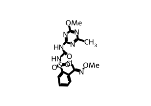 CON=C(Cl)c1ccccc1S(=O)(=O)NC(=O)Nc1nc(C)nc(OC)n1